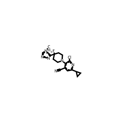 Cn1cnnc1C1(F)CCN(c2c(C#N)cc(C3CC3)nc2Cl)CC1